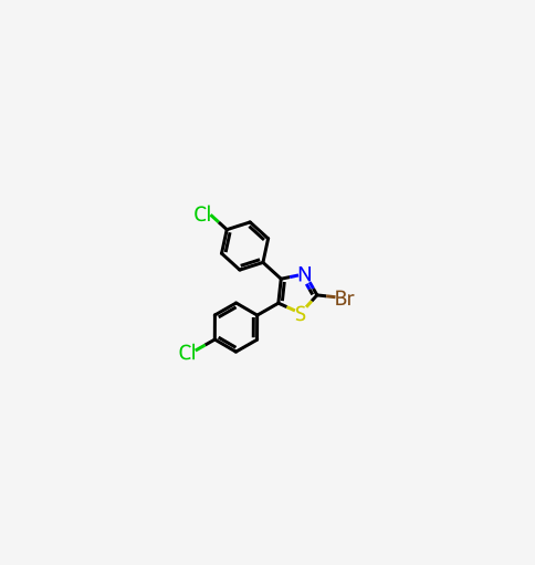 Clc1ccc(-c2nc(Br)sc2-c2ccc(Cl)cc2)cc1